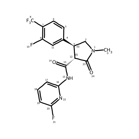 CN1C[C@H](c2ccc(C(F)(F)F)c(F)c2)[C@@H](C(=O)Nc2cccc(F)n2)C1=O